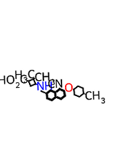 CC1(C)C(NCc2ccc3ccc(O[C@H]4CC[C@@H](C)CC4)c(C#N)c3c2)CC1C(=O)O